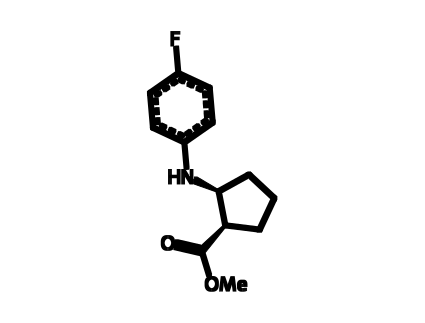 COC(=O)[C@@H]1CCC[C@@H]1Nc1ccc(F)cc1